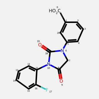 O=C(O)c1cccc(N2CC(=O)N(c3ccccc3F)C2=O)c1